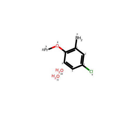 Bc1cc(Cl)ccc1OCCC.O.O